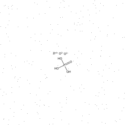 O=P(O)(O)O.[O-2].[O-2].[Zr+4]